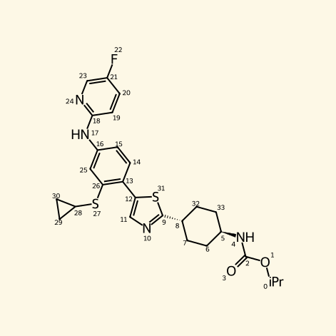 CC(C)OC(=O)N[C@H]1CC[C@H](c2ncc(-c3ccc(Nc4ccc(F)cn4)cc3SC3CC3)s2)CC1